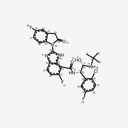 CC(C)(C)N[C@@H](O)[C@@H](NC(=O)c1c(F)ccc2nc(N3C(=O)Cc4cc(F)ccc43)[nH]c12)c1cc(F)ccc1Cl